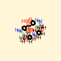 [2H]c1c([2H])c(OC([2H])([2H])[2H])c([2H])c([2H])c1N=[N+]([O-])c1c([2H])c([2H])c(OC([2H])([2H])[2H])c([2H])c1[2H].[N-]=[N+]=Nc1ccc(C=Cc2ccc(N=[N+]=[N-])cc2S(=O)(=O)O)c(S(=O)(=O)O)c1